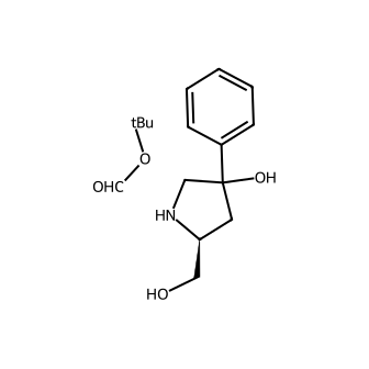 CC(C)(C)OC=O.OC[C@@H]1CC(O)(c2ccccc2)CN1